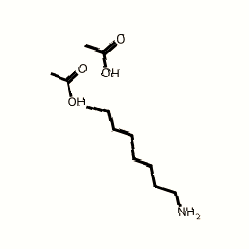 CC(=O)O.CC(=O)O.CCCCCCCCN